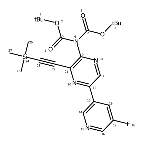 CC(C)(C)OC(=O)N(C(=O)OC(C)(C)C)c1ncc(-c2cncc(F)c2)nc1C#C[Si](C)(C)C